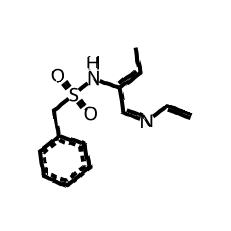 C=C/N=C\C(=C\C)NS(=O)(=O)Cc1ccccc1